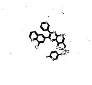 Cc1ccc(NS(=O)(=O)Cc2c[nH]c3nc(-c4ccccc4)c(-c4cc(Cl)c5ncccc5c4)nc3c2=O)cn1